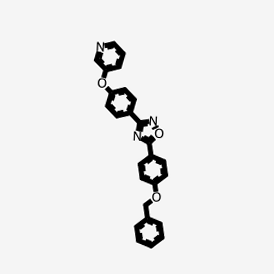 c1ccc(COc2ccc(-c3nc(-c4ccc(Oc5cccnc5)cc4)no3)cc2)cc1